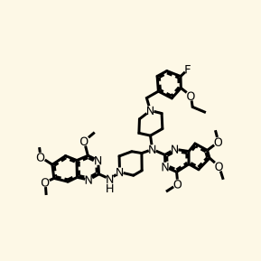 CCOc1cc(CN2CCC(N(c3nc(OC)c4cc(OC)c(OC)cc4n3)C3CCN(Nc4nc(OC)c5cc(OC)c(OC)cc5n4)CC3)CC2)ccc1F